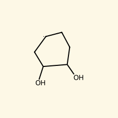 OC1C[CH]CCC1O